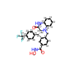 O=C(NO)c1ccc(CN2c3ccccc3NC(=O)[C@H]2Cc2ccc(C(F)(F)F)cc2)cc1